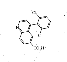 O=C(O)c1ccc2nccc(-c3c(Cl)cccc3Cl)c2c1